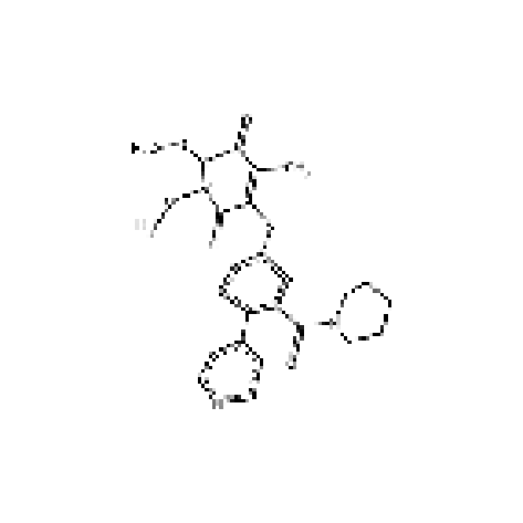 COC1=C(OC)C(=O)C(Cc2ccc(-c3ccncc3)c(C(=O)N3CCCCC3)c2)=C(C)C1=O